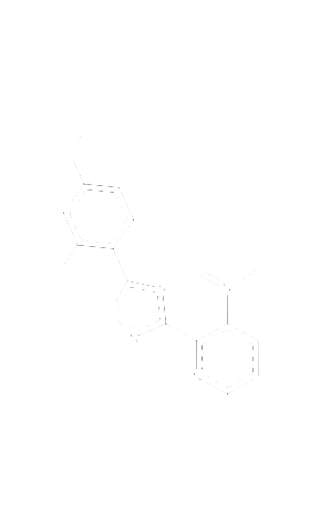 COc1ccc(-c2nc(-c3ncccc3[N+](=O)[O-])no2)c(O)c1